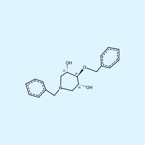 O[C@@H]1CN(Cc2ccccc2)C[C@H](O)[C@H]1OCc1ccccc1